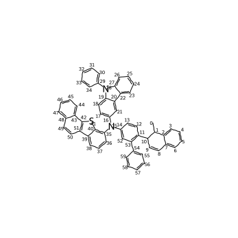 CC1c2ccccc2C=CC1c1ccc(N(c2ccc3c(c2)c2ccccc2n3-c2ccccc2)c2cccc3c2sc2c4ccccc4ccc32)cc1-c1ccccc1